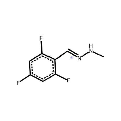 CN/N=C/c1c(F)cc(F)cc1F